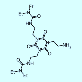 CCN(CC)C(=O)NCCn1c(=O)n(CCN)c(=O)n(CCNC(=O)N(CC)CC)c1=O